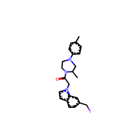 Cc1ccc(N2CCN(C(=O)Cn3ccc4ccc(CI)cc43)C(C)C2)cc1